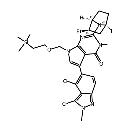 CC[C@@H]1C[C@@H]2CC[C@H]1N2c1nc2c(c(-c3ccc4nn(C)c(Cl)c4c3Cl)cn2COCC[Si](C)(C)C)c(=O)n1C